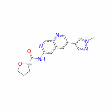 Cn1cc(-c2cnc3cnc(NC(=O)[C@@H]4CCCO4)cc3c2)cn1